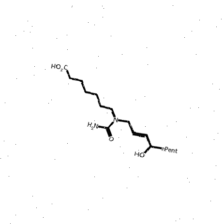 CCCCCC(O)C=CCN(CCCCCCC(=O)O)C(N)=O